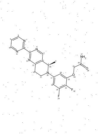 C[C@@H]1c2cnc(-c3ncccn3)nc2CCN1c1cc(F)c(F)c(OCC(N)=O)c1